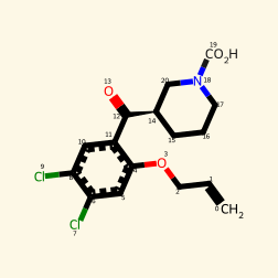 C=CCOc1cc(Cl)c(Cl)cc1C(=O)[C@@H]1CCCN(C(=O)O)C1